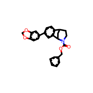 O=C(OCc1ccccc1)N1CCC2CC1c1cc(-c3ccc4c(c3)OCO4)ccc12